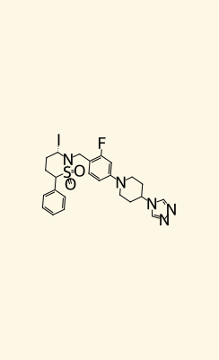 O=S1(=O)C(c2ccccc2)CC[C@H](I)N1Cc1ccc(N2CCC(n3cnnc3)CC2)cc1F